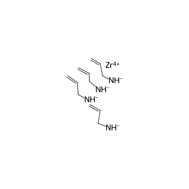 C=CC[NH-].C=CC[NH-].C=CC[NH-].C=CC[NH-].[Zr+4]